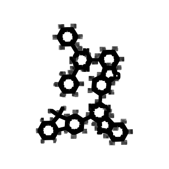 CC1(C)c2ccccc2-c2ccc(-c3nc(-c4ccc5c(c4)oc4cccc(-c6nc(-c7ccccc7)nc(-c7ccccc7)n6)c45)nc4c3sc3ccccc34)cc21